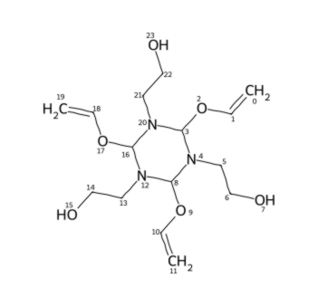 C=COC1N(CCO)C(OC=C)N(CCO)C(OC=C)N1CCO